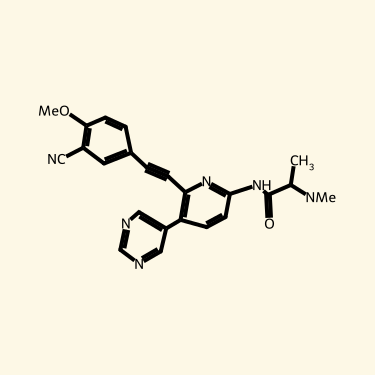 CNC(C)C(=O)Nc1ccc(-c2cncnc2)c(C#Cc2ccc(OC)c(C#N)c2)n1